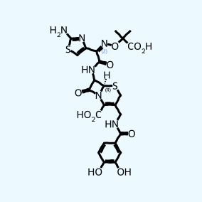 CC(C)(O/N=C(\C(=O)NC1C(=O)N2C(C(=O)O)=C(CNC(=O)c3ccc(O)c(O)c3)CS[C@H]12)c1csc(N)n1)C(=O)O